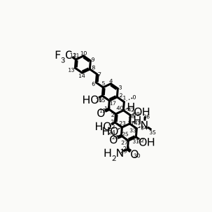 C[C@H]1c2ccc(/C=C/c3ccc(C(F)(F)F)cc3)c(O)c2C(=O)C2=C(O)[C@]3(O)C(=O)C(C(N)=O)=C(O)[C@@H](N(C)C)[C@@H]3[C@@H](O)[C@@H]21